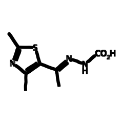 CC(=NNC(=O)O)c1sc(C)nc1C